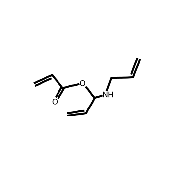 C=CCNC(C=C)OC(=O)C=C